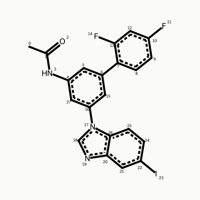 CC(=O)Nc1cc(-c2ccc(F)cc2F)cc(-n2cnc3cc(I)ccc32)c1